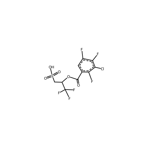 O=C(OC(CS(=O)(=O)O)C(F)(F)F)c1cc(F)c(F)c(Cl)c1F